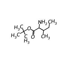 CCC(C)C(N)C(=O)OC(C)(C)C